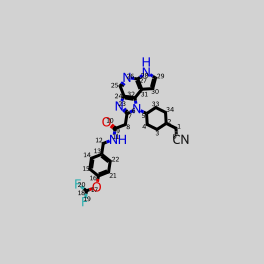 N#CCC1CCC(n2c(CC(=O)NCc3ccc(OC(F)F)cc3)nc3cnc4[nH]ccc4c32)CC1